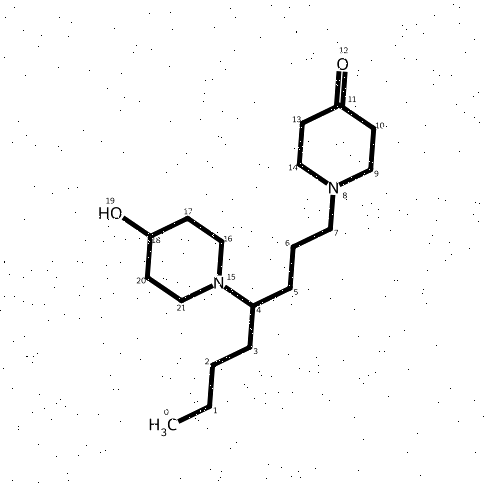 CCCCC(CCCN1CCC(=O)CC1)N1CCC(O)CC1